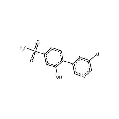 CS(=O)(=O)c1ccc(-c2cncc(Cl)n2)c(O)c1